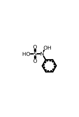 O=S(=O)(O)N(O)c1ccccc1